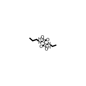 CCCNS(=O)(=O)S(=O)(=O)NCC